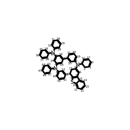 C1=CCC(N(C2=Cc3c(sc4ccccc34)CC2)c2cccc(-c3cc(N(c4ccccc4)c4ccccc4)cc(N(c4ccccc4)c4ccccc4)c3)c2)C=C1